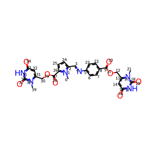 Cn1c(/C=N/c2ccc(C(=O)OCc3cc(=O)[nH]c(=O)n3C)cc2)ccc1C(=O)OCc1cc(=O)[nH]c(=O)n1C